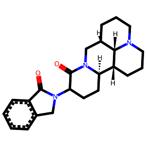 O=C1c2ccccc2CN1C1CC[C@@H]2[C@H]3CCCN4CCC[C@@H](CN2C1=O)[C@@H]34